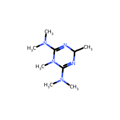 CC1N=C(N(C)C)N(C)C(N(C)C)=N1